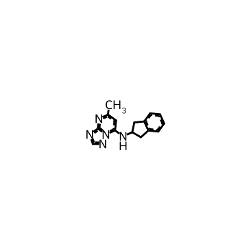 Cc1cc(NC2Cc3ccccc3C2)n2ncnc2n1